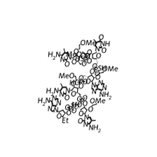 CC[C@H]1O[C@@H](n2cnc3c(N)ncnc32)CC1OP(=O)(S)OC[C@H]1O[C@@H](n2cc(C)c(N)nc2=O)[C@@H](OCCOC)C1OP(=O)(O)OC[C@H]1O[C@@H](n2cc(C)c(N)nc2=O)[C@@H](OCCOC)C1OP(=O)(O)OC[C@H]1O[C@@H](n2cnc3c(N)ncnc32)[C@@H](OCCOC)C1OP(=O)(S)OC[C@H]1O[C@@H](n2cc(C)c(=O)[nH]c2=O)[C@@H](OCCOC)C1OP(=O)(S)OC[C@H]1O[C@@H](n2cc(C)c(N)nc2=O)[C@@H](OCCOC)C1O